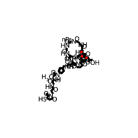 CCCC1NC(=O)CNC(=O)C2Cc3c([nH]c4ccccc34)SC[C@H](NC(=O)CNC1=O)C(=O)NC(CC(=O)NCc1ccc(NC(=O)C(C)NC(=O)CNC(=O)CCN3C(=O)CC(S)C3=O)cc1)C(=O)N1CCCC1C(=O)NC(CC(O)CO)C(=O)N2